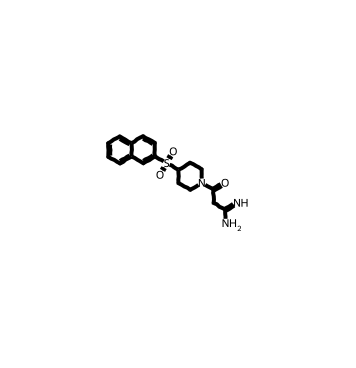 N=C(N)CC(=O)N1CCC(S(=O)(=O)c2ccc3ccccc3c2)CC1